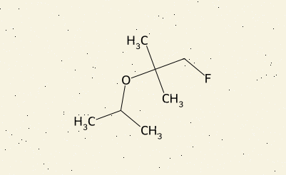 CC(C)OC(C)(C)CF